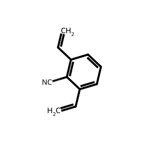 C=Cc1cccc(C=C)c1C#N